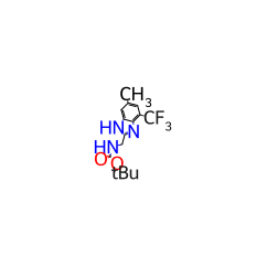 Cc1cc(C(F)(F)F)c2nc(CNC(=O)OC(C)(C)C)[nH]c2c1